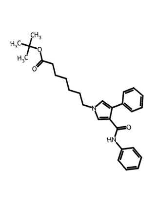 CC(C)(C)OC(=O)CCCCCCn1cc(C(=O)Nc2ccccc2)c(-c2ccccc2)c1